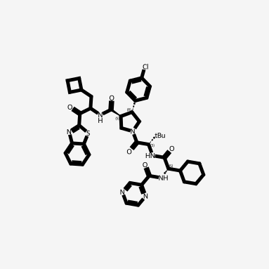 CC(C)(C)[C@H](NC(=O)[C@@H](NC(=O)c1cnccn1)C1CCCCC1)C(=O)N1C[C@@H](C(=O)NC(CC2CCC2)C(=O)c2nc3ccccc3s2)[C@H](c2ccc(Cl)cc2)C1